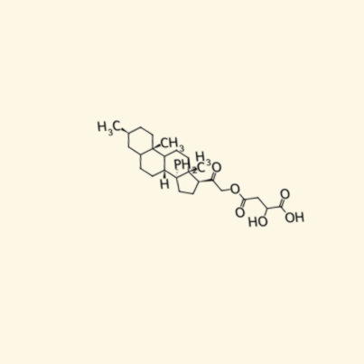 C[C@H]1CC[C@@]2(C)C(CC[C@@H]3C2CC[C@]2(C)[C@@H](C(=O)COC(=O)CC(O)C(=O)O)CC[C@@]32P)C1